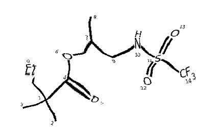 CCC(C)(C)C(=O)OC(C)CNS(=O)(=O)C(F)(F)F